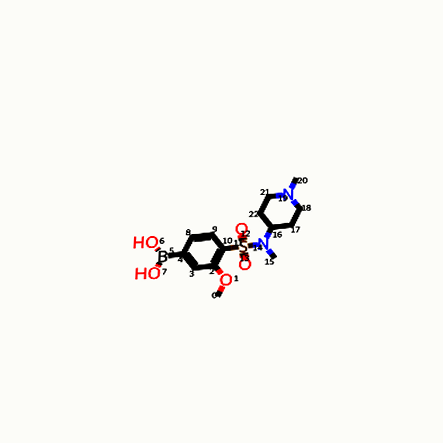 COc1cc(B(O)O)ccc1S(=O)(=O)N(C)C1CCN(C)CC1